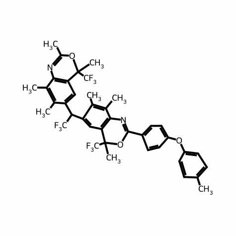 CC1=Nc2c(cc(C(c3cc4c(c(C)c3C)N=C(c3ccc(Oc5ccc(C)cc5)cc3)OC4(C)C(F)(F)F)C(F)(F)F)c(C)c2C)C(C)(C(F)(F)F)O1